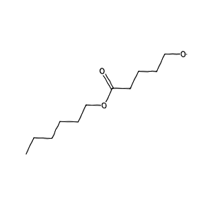 CCCCCCOC(=O)CCCC[O]